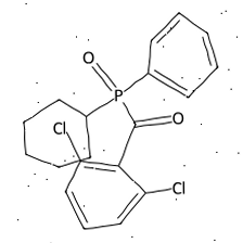 O=C(c1c(Cl)cccc1Cl)P(=O)(c1ccccc1)C1CCCCC1